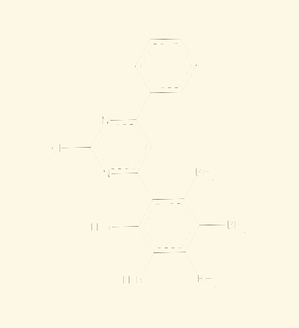 Bc1c(B)c(B)c(-c2cc(-c3ccccc3)nc(Cl)n2)c(B)c1B